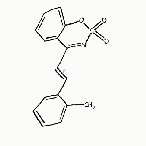 Cc1ccccc1/C=C/C1=NS(=O)(=O)Oc2ccccc21